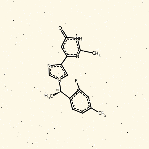 Cc1nc(-c2cn([C@H](C)c3ccc(C(F)(F)F)cc3F)cn2)cc(=O)[nH]1